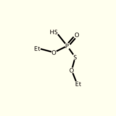 CCOSP(=O)(S)OCC